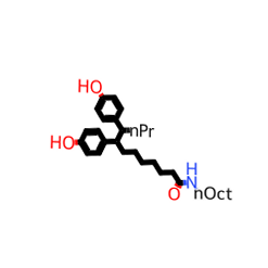 CCCCCCCCNC(=O)CCCCCCC(c1ccc(O)cc1)C(CCC)c1ccc(O)cc1